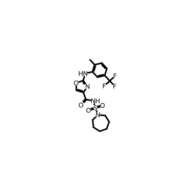 Cc1ccc(C(F)(F)F)cc1Nc1nc(C(=O)NS(=O)(=O)N2CCCCCC2)co1